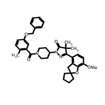 COc1ccc(C2=NN(C3CCN(C(=O)c4cc(OCc5ccccc5)ccc4C)CC3)C(=O)C2(C)C)c2c1OC1(CCCC1)C2